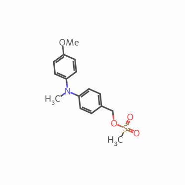 COc1ccc(N(C)c2ccc(COS(C)(=O)=O)cc2)cc1